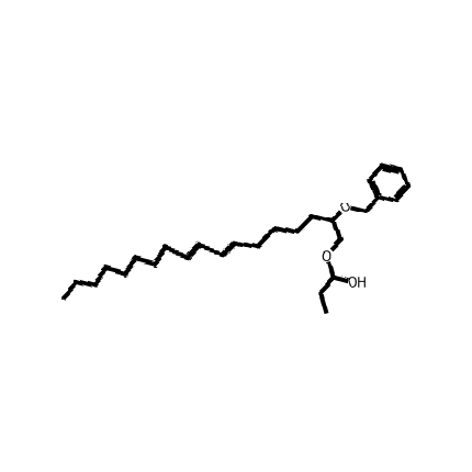 CCCCCCCCCCCCCCCCC(COC(O)CC)OCc1ccccc1